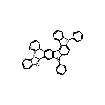 c1ccc(-n2c3ccccc3c3c4c5cc6c7cccnc7n7c8ccccc8nc7c6cc5n(-c5ccccc5)c4ccc32)cc1